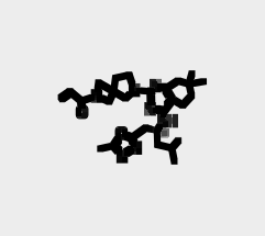 C=CC(=O)N1CC2(CCN(c3nc4c(c(N[C@H](Cc5nnc(C)o5)CC(C)C)n3)CCC(C)(C)C4)C2)C1